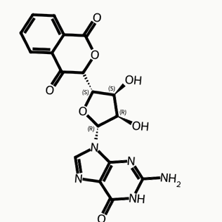 Nc1nc2c(ncn2[C@@H]2O[C@H](C3OC(=O)c4ccccc4C3=O)[C@@H](O)[C@H]2O)c(=O)[nH]1